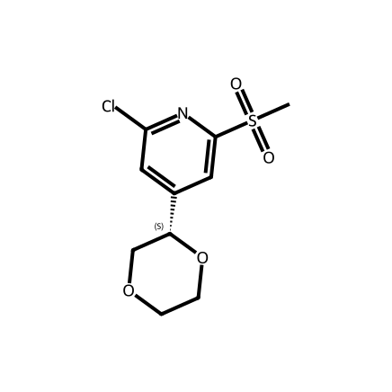 CS(=O)(=O)c1cc([C@H]2COCCO2)cc(Cl)n1